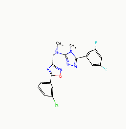 CN(Cc1noc(-c2cccc(Cl)c2)n1)c1nnc(-c2cc(F)cc(F)c2)n1C